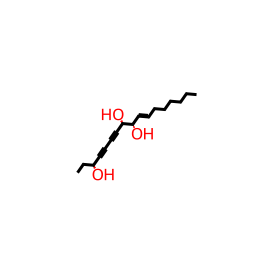 CCCCCC/C=C/[C@H](O)[C@H](O)C#CC#C[C@@H](O)CC